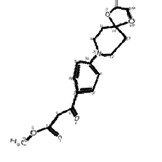 COC(=O)CC(=O)c1ccc(N2CCC3(CC2)OCCO3)cc1